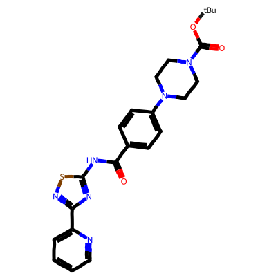 CC(C)(C)OC(=O)N1CCN(c2ccc(C(=O)Nc3nc(-c4ccccn4)ns3)cc2)CC1